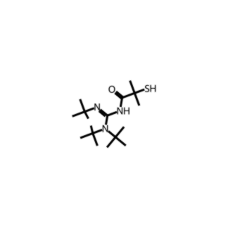 CC(C)(C)/N=C(/NC(=O)C(C)(C)S)N(C(C)(C)C)C(C)(C)C